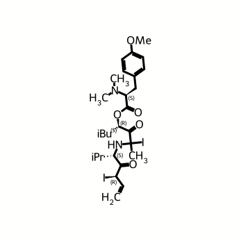 C=C[C@@H](I)C(=O)[C@@H](NC(C)(I)C(=O)[C@H](OC(=O)[C@H](Cc1ccc(OC)cc1)N(C)C)[C@@H](C)CC)C(C)C